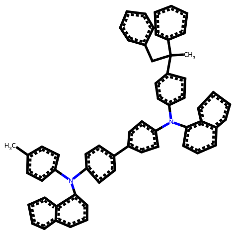 Cc1ccc(N(c2ccc(-c3ccc(N(c4ccc(C(C)(Cc5ccccc5)c5ccccc5)cc4)c4cccc5ccccc45)cc3)cc2)c2cccc3ccccc23)cc1